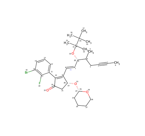 CC#CCC(C)[C@H](/C=C/C1=C(c2cccc(Br)c2F)C(=O)C[C@H]1O[C@H]1CCCCO1)O[Si](C)(C)C(C)(C)C